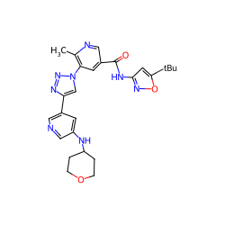 Cc1ncc(C(=O)Nc2cc(C(C)(C)C)on2)cc1-n1cc(-c2cncc(NC3CCOCC3)c2)nn1